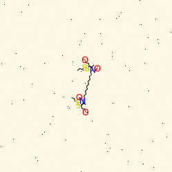 CCCSSC(CCOC)=C(C)N(C=O)CCCCCCCCCCCCN(C=O)C(C)=C(CCOC)SSCCC